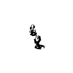 c1ccn2c(C3CCN(c4ccc5oc(N6CCOCC6)nc5c4)CC3)cnc2c1